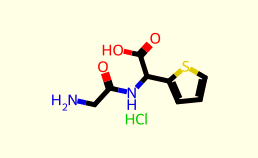 Cl.NCC(=O)NC(C(=O)O)c1cccs1